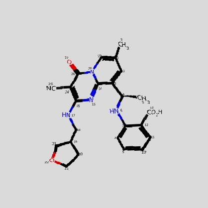 Cc1cc([C@@H](C)Nc2ccccc2C(=O)O)c2nc(NCC3CCOC3)c(C#N)c(=O)n2c1